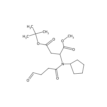 COC(=O)C(CC(=O)OC(C)(C)C)N(C(=O)CCC=O)C1CCCC1